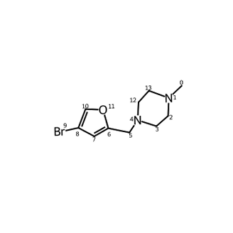 CN1CCN(Cc2cc(Br)co2)CC1